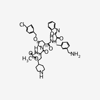 CS(=O)(=O)N[C@H](CCC1CCNCC1)C(=O)N1C[C@H](OCc2ccc(Cl)cc2)C[C@H]1C(=O)N[C@@H](Cc1cccc(CN)c1)C(=O)c1nc2ccccc2o1